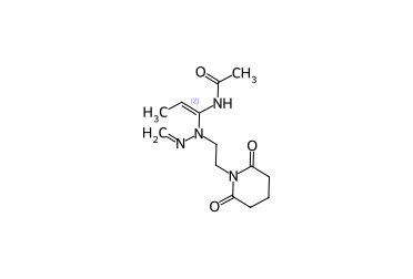 C=NN(CCN1C(=O)CCCC1=O)/C(=C\C)NC(C)=O